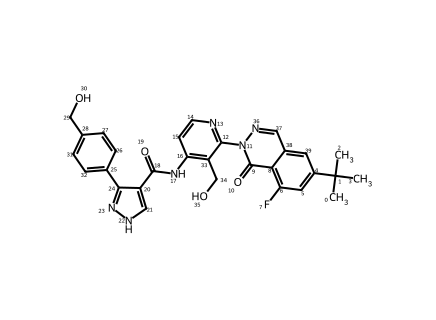 CC(C)(C)c1cc(F)c2c(=O)n(-c3nccc(NC(=O)c4c[nH]nc4-c4ccc(CO)cc4)c3CO)ncc2c1